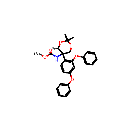 CCCC1OC(C)(C)OCC1(NC(=O)OC(C)(C)C)c1ccc(Oc2ccccc2)cc1Oc1ccccc1